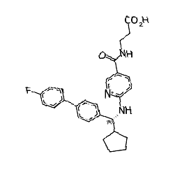 O=C(O)CCNC(=O)c1ccc(N[C@@H](c2ccc(-c3ccc(F)cc3)cc2)C2CCCC2)nc1